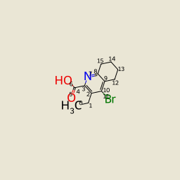 CCc1c(C(=O)O)nc2c(c1Br)CCCC2